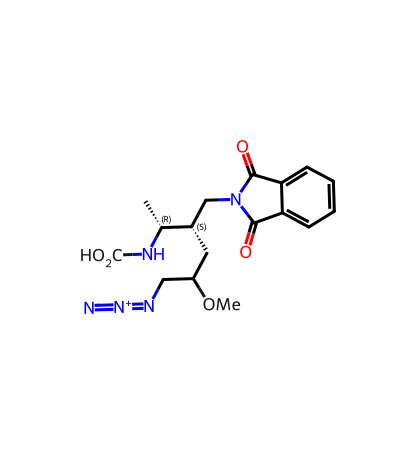 COC(CN=[N+]=[N-])C[C@@H](CN1C(=O)c2ccccc2C1=O)[C@@H](C)NC(=O)O